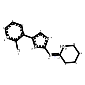 Clc1ncccc1-c1csc(/N=C2/CCCCN2)n1